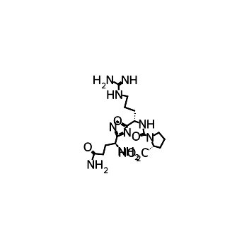 N=C(N)NCCC[C@H](NC(=O)N1CCC[C@@H]1C(=O)O)c1nc([C@@H](N)CCC(N)=O)no1